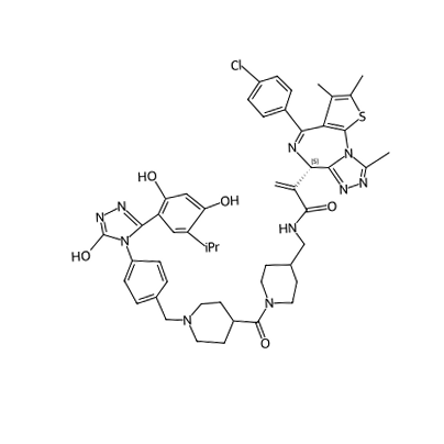 C=C(C(=O)NCC1CCN(C(=O)C2CCN(Cc3ccc(-n4c(O)nnc4-c4cc(C(C)C)c(O)cc4O)cc3)CC2)CC1)[C@@H]1N=C(c2ccc(Cl)cc2)c2c(sc(C)c2C)-n2c(C)nnc21